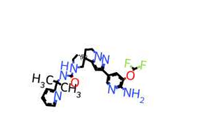 CC(C)(NC(=O)N1CC[C@@]2(CCn3nc(-c4cnc(N)c(OC(F)F)c4)cc32)C1)c1ccccn1